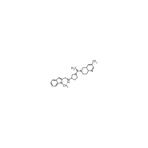 C=C(N1CCC(NCc2cc3ccccc3n2C)C1)N1CCC2N=CC(C(F)(F)F)=CC2C1